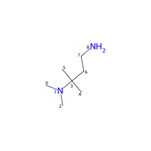 CN(C)C(C)(C)CCN